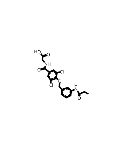 CCC(=O)Nc1cccc(COc2c(Cl)cc(C(=O)NCC(=O)O)cc2Cl)c1